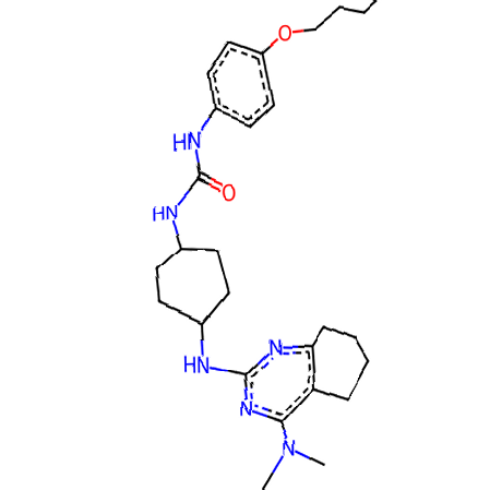 CCCCOc1ccc(NC(=O)NC2CCC(Nc3nc4c(c(N(C)C)n3)CCCC4)CC2)cc1